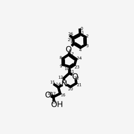 Cc1cccc(Oc2ccc(C3CN(C(C)CC(=O)O)CCO3)cc2)c1C